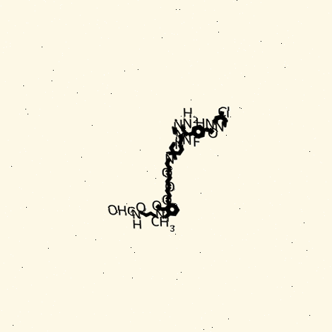 CC(CCC(=O)NC=O)N1Cc2cccc(OCCOCCOCCN3CC4(CCN(c5nc(-c6ccc(C(=O)Nc7cc(Cl)ccn7)cc6F)c6c(N)nccn56)CC4)C3)c2C1=O